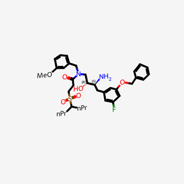 CCCC(CCC)S(=O)(=O)CCC(=O)N(Cc1cccc(OC)c1)C[C@@H](O)[C@@H](N)Cc1cc(F)cc(OCc2ccccc2)c1